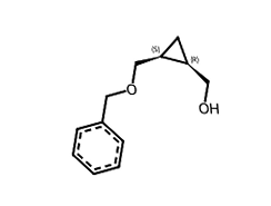 OC[C@@H]1C[C@@H]1COCc1ccccc1